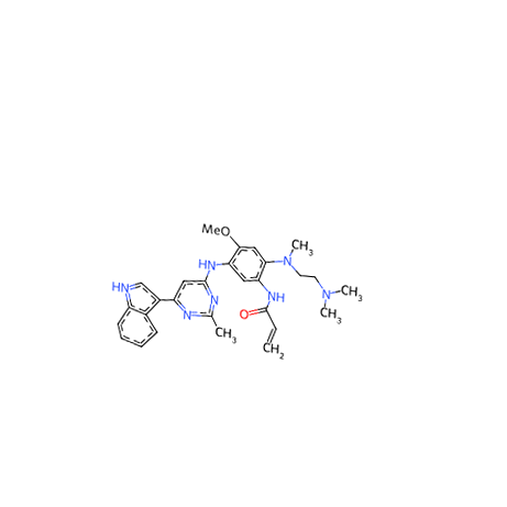 C=CC(=O)Nc1cc(Nc2cc(-c3c[nH]c4ccccc34)nc(C)n2)c(OC)cc1N(C)CCN(C)C